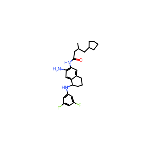 CC(CC(=O)Nc1cc2c(cc1N)C(Nc1cc(F)cc(F)c1)CCC2)CC1CCCC1